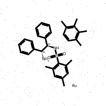 Cc1cc(C)c(S(=O)(=O)N[C@H](c2ccccc2)[C@H](N)c2ccccc2)c(C)c1.Cc1ccc(C)c(C)c1C.[Ru]